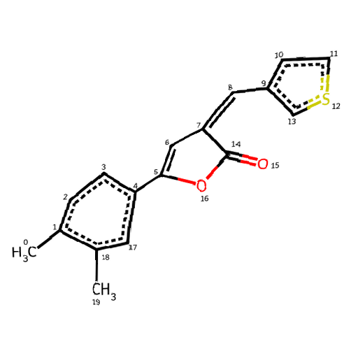 Cc1ccc(C2=CC(=Cc3ccsc3)C(=O)O2)cc1C